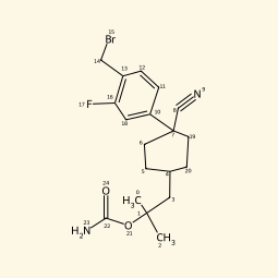 CC(C)(CC1CCC(C#N)(c2ccc(CBr)c(F)c2)CC1)OC(N)=O